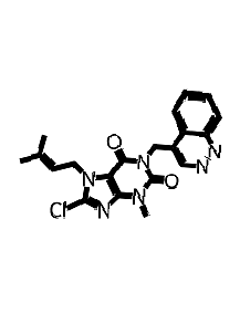 CC(C)=CCn1c(Cl)nc2c1c(=O)n(Cc1cnnc3ccccc13)c(=O)n2C